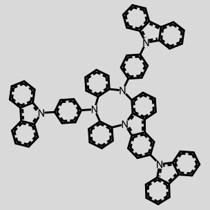 c1ccc2c(c1)N(c1ccc(-n3c4ccccc4c4ccccc43)cc1)c1ccccc1-n1c3ccc(-n4c5ccccc5c5ccccc54)cc3c3cccc(c31)N2c1ccc(-n2c3ccccc3c3ccccc32)cc1